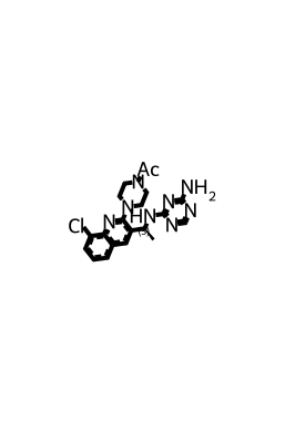 CC(=O)N1CCN(c2nc3c(Cl)cccc3cc2[C@H](C)Nc2ncnc(N)n2)CC1